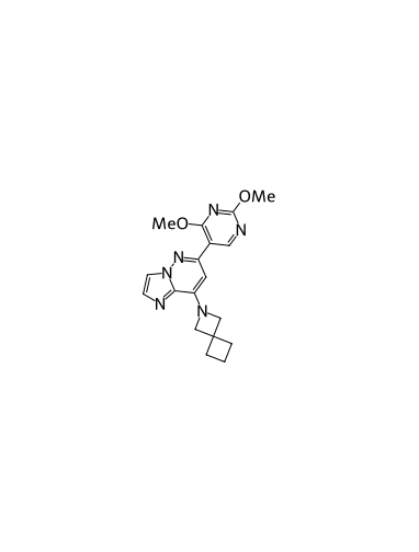 COc1ncc(-c2cc(N3CC4(CCC4)C3)c3nccn3n2)c(OC)n1